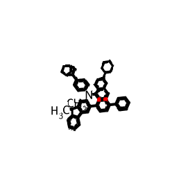 CC1(C)c2ccccc2-c2cc(-c3ccc(-c4ccccc4)cc3)c(N(c3ccc(C4CC5CCC4C5)cc3)c3cccc4cc(C5CCCCC5)ccc34)cc21